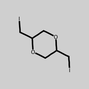 ICC1COC(CI)CO1